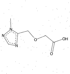 Cn1ncnc1COCC(=O)O